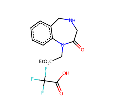 CCOC(=O)CN1C(=O)CNCc2ccccc21.O=C(O)C(F)(F)F